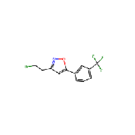 FC(F)(F)c1cccc(-c2cc(CCBr)no2)c1